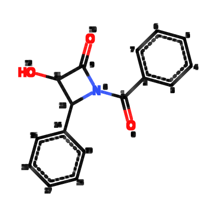 O=C(c1ccccc1)N1C(=O)C(O)C1c1ccccc1